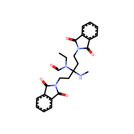 CCN(C=O)C(CCN1C(=O)c2ccccc2C1=O)(CCN1C(=O)c2ccccc2C1=O)NC